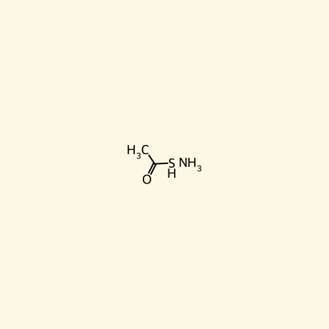 CC(=O)S.N